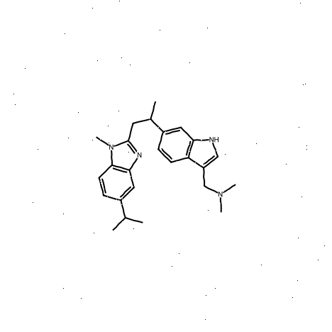 CC(C)c1ccc2c(c1)nc(CC(C)c1ccc3c(CN(C)C)c[nH]c3c1)n2C